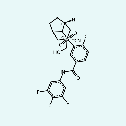 N#C[C@]1(CO)CC2CC[C@H](C1)C2S(=O)(=O)c1cc(C(=O)Nc2cc(F)c(F)c(F)c2)ccc1Cl